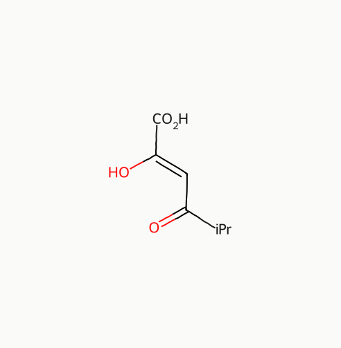 CC(C)C(=O)C=C(O)C(=O)O